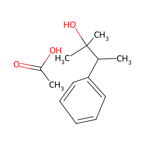 CC(=O)O.CC(c1ccccc1)C(C)(C)O